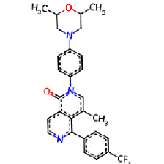 Cc1cn(-c2ccc(N3CC(C)OC(C)C3)cc2)c(=O)c2ccnc(-c3ccc(C(F)(F)F)cc3)c12